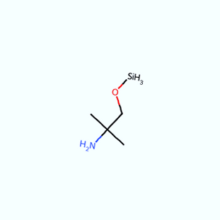 CC(C)(N)CO[SiH3]